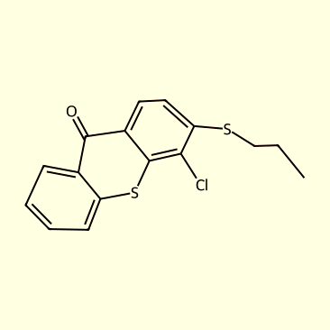 CCCSc1ccc2c(=O)c3ccccc3sc2c1Cl